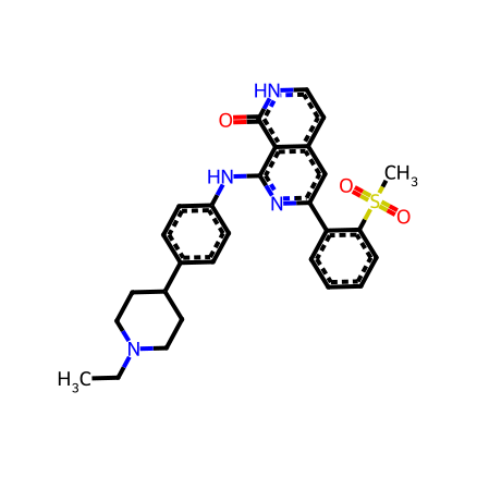 CCN1CCC(c2ccc(Nc3nc(-c4ccccc4S(C)(=O)=O)cc4cc[nH]c(=O)c34)cc2)CC1